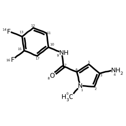 Cn1cc(N)cc1C(=O)Nc1ccc(F)c(F)c1